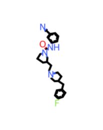 N#Cc1cccc(NC(=O)N2CCCC(CCN3CCC(Cc4ccc(F)cc4)CC3)C2)c1